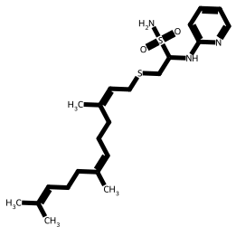 CC(C)=CCCC(C)=CCCC(C)=CCSCC(Nc1ccccn1)S(N)(=O)=O